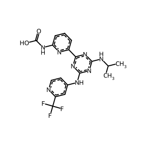 CC(C)Nc1nc(Nc2ccnc(C(F)(F)F)c2)nc(-c2cccc(NC(=O)O)n2)n1